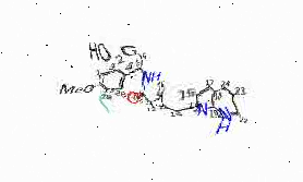 COc1ccc(C(CC(=O)O)NC(=O)C2CC(Cc3ccc4c(n3)NCCC4)C2)cc1F